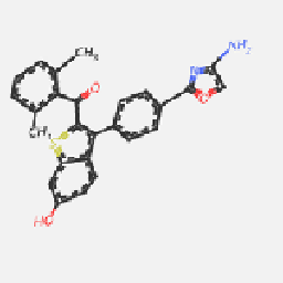 Cc1cccc(C)c1C(=O)c1sc2cc(O)ccc2c1-c1ccc(-c2nc(N)co2)cc1